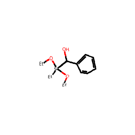 CCO[Si](CC)(OCC)C(O)c1ccccc1